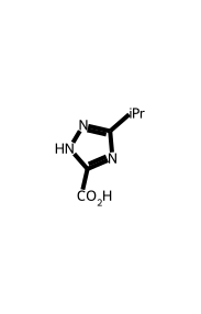 CC(C)c1n[nH]c(C(=O)O)n1